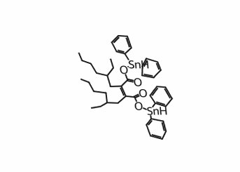 CCCCC(CC)C/C(C(=O)[O][SnH]([c]1ccccc1)[c]1ccccc1)=C(\CC(CC)CCCC)C(=O)[O][SnH]([c]1ccccc1)[c]1ccccc1